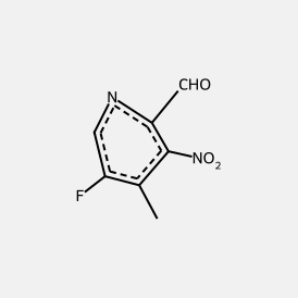 Cc1c(F)cnc(C=O)c1[N+](=O)[O-]